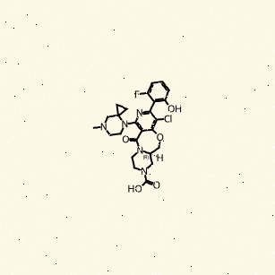 CN1CCN(c2nc(-c3c(O)cccc3F)c(Cl)c3c2C(=O)N2CCN(C(=O)O)C[C@@H]2CO3)C2(CC2)C1